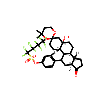 CC1(C)CCOC2(CC[C@@]34Cc5cc(OS(=O)(=O)C(F)(F)C(F)(F)C(F)(F)C(F)(F)F)ccc5C5C[C@]6(C)C(=O)CC[C@H]6[C@H](CC[C@@]3(O)C2)C54)O1